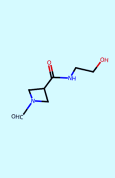 O=CN1CC(C(=O)NCCO)C1